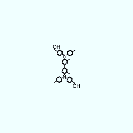 Cc1ccc(N(c2ccc(CO)cc2)c2ccc(-c3ccc(N(c4ccc(C)cc4)c4ccc(CO)cc4)c(C)c3)cc2C)cc1